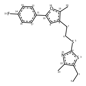 CCc1sc(SCCc2cc(-c3ccc(F)cc3)oc2C)nc1C